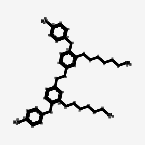 CCCCCCCc1cc(CCc2ccc(Cc3ccc(N)cc3)c(CCCCCCC)c2)ccc1Cc1ccc(N)cc1